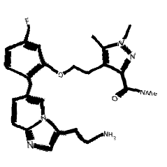 CNC(=O)c1nn(C)c(C)c1CCOc1cc(F)ccc1-c1ccc2ncc(CCN)n2c1